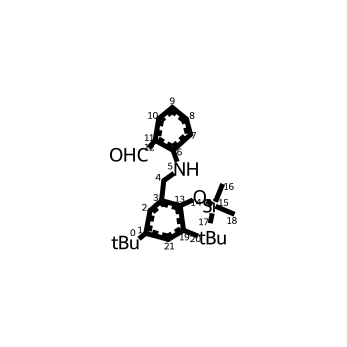 CC(C)(C)c1cc(CNc2ccccc2C=O)c(O[Si](C)(C)C)c(C(C)(C)C)c1